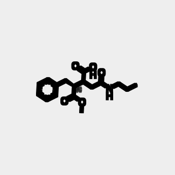 CCCNC(=O)CC(C(=O)O)[C@H](Cc1ccccc1)C(=O)OC